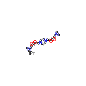 Cc1ccccc1N(c1ccc2cc3c(cc2c1)oc1c(C)c2oc4cc5cc(N(c6ccccc6C)c6ccc(CC(C)c7ccc(N(c8ccccc8)c8ccc9cc%10c(cc9c8)oc8c(C)c9oc%11cc%12cc(N(c%13ccccc%13)c%13ccc(C(C)C)cc%13)ccc%12cc%11c9c(C)c8%10)cc7)cc6C)ccc5cc4c2c(C)c13)c1ccccc1C